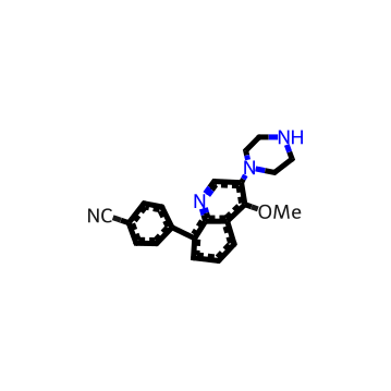 COc1c(N2CCNCC2)cnc2c(-c3ccc(C#N)cc3)cccc12